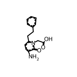 Nc1ccc(CCc2ccccc2)n(CC(=O)O)c1=O